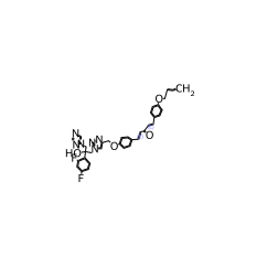 C=C=CCOc1ccc(/C=C/C(=O)/C=C/c2ccc(OCc3cn(CC(O)(Cn4cncn4)c4ccc(F)cc4F)nn3)cc2)cc1